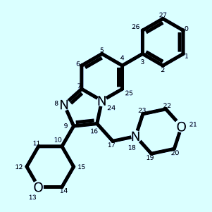 c1ccc(-c2ccc3nc(C4CCOCC4)c(CN4CCOCC4)n3c2)cc1